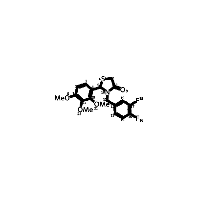 COc1ccc(C2SCC(=O)N2Cc2ccc(F)c(F)c2)c(OC)c1OC